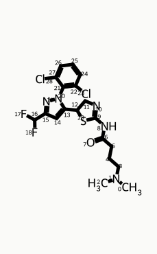 CN(C)CCCC(=O)NC1=NCC(c2cc(C(F)F)nn2-c2c(Cl)cccc2Cl)S1